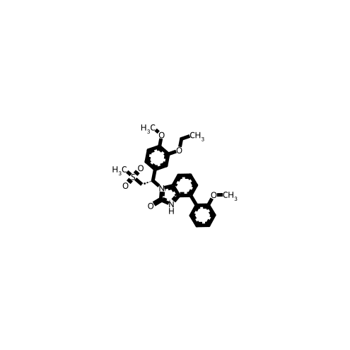 CCOc1cc([C@@H](CS(C)(=O)=O)n2c(=O)[nH]c3c(-c4ccccc4OC)cccc32)ccc1OC